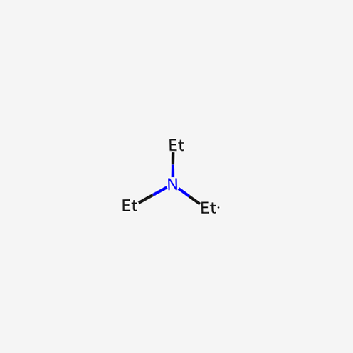 C[CH]N(CC)CC